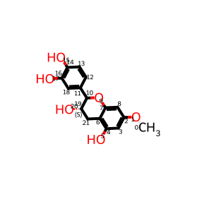 COc1cc(O)c2c(c1)OC(c1ccc(O)c(O)c1)[C@@H](O)C2